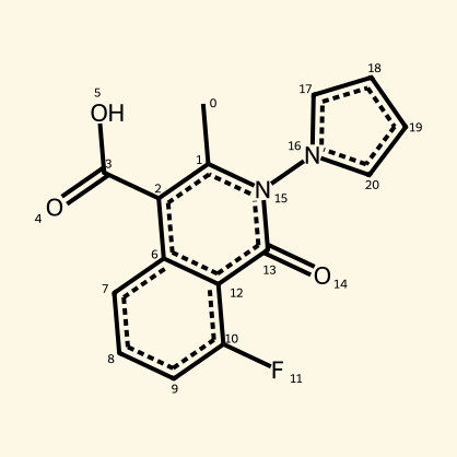 Cc1c(C(=O)O)c2cccc(F)c2c(=O)n1-n1cccc1